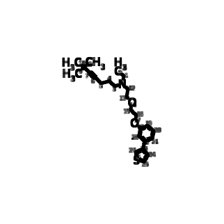 CCN(CCCC#CC(C)(C)C)CCOCCOc1cccc(-c2ccsc2)c1